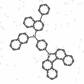 c1ccc(-c2ccc(N(c3ccc(-n4c5ccc6ccccc6c5c5c6ccccc6ccc54)cc3)c3ccc4ccccc4c3)c3ccccc23)cc1